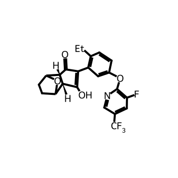 CCc1ccc(Oc2ncc(C(F)(F)F)cc2F)cc1C1=C(O)[C@@H]2C3CCC(O3)[C@@H]2C1=O